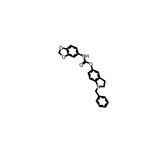 O=C(Nc1ccc2c(c1)OCO2)Oc1ccc2c(c1)CCN2Cc1ccccc1